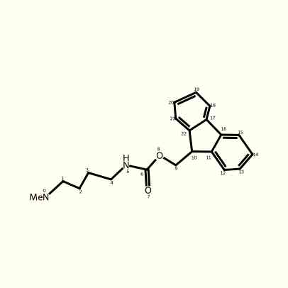 CNCCCCNC(=O)OCC1c2ccccc2-c2ccccc21